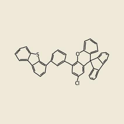 Clc1cc(-c2cccc(-c3cccc4c3sc3ccccc34)c2)c2c(c1)C1(c3ccccc3O2)c2ccccc2-c2ccccc21